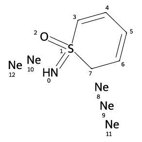 N=S1(=O)C=CC=CC1.[Ne].[Ne].[Ne].[Ne].[Ne]